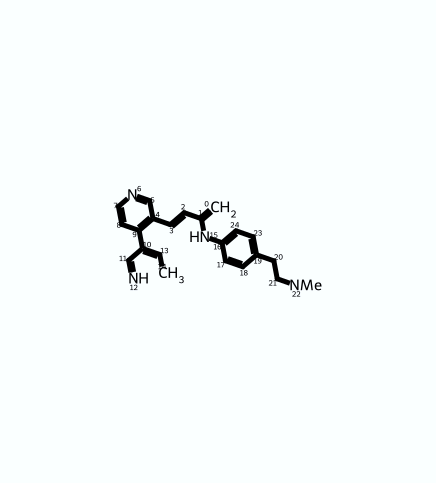 C=C(/C=C/c1cnccc1/C(C=N)=C/C)Nc1ccc(CCNC)cc1